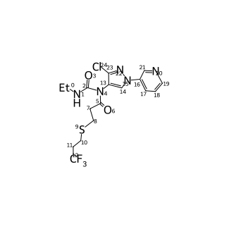 CCNC(=O)N(C(=O)CCSCCC(F)(F)F)c1cn(-c2cccnc2)nc1Cl